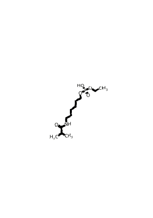 CCOP(=O)(O)OCCCCCCNC(=O)C(C)C